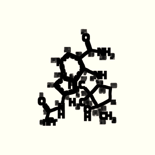 CCCC(=O)Nc1cc2c(N[C@@H]3CC[C@@](C)(O)C3(C)C)c(C(N)=O)cnn2c1